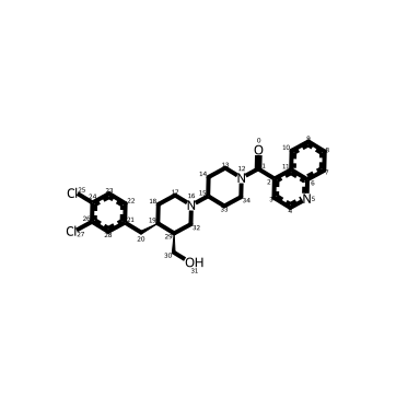 O=C(c1ccnc2ccccc12)N1CCC(N2CC[C@H](Cc3ccc(Cl)c(Cl)c3)[C@H](CO)C2)CC1